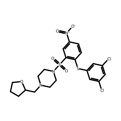 O=[N+]([O-])c1ccc(Sc2cc(Cl)cc(Cl)c2)c(S(=O)(=O)N2CCN(CC3CCCO3)CC2)c1